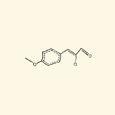 COc1ccc(C=C(Cl)C=O)cc1